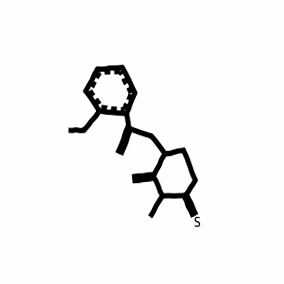 C=C(CC1CCC(=S)C(C)C1=C)c1ccccc1CC